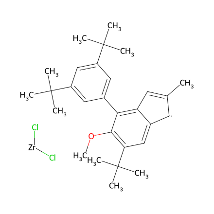 COc1c(C(C)(C)C)cc2c(c1-c1cc(C(C)(C)C)cc(C(C)(C)C)c1)C=C(C)[CH]2.[Cl][Zr][Cl]